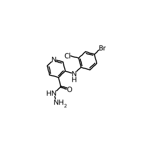 NNC(=O)c1ccncc1Nc1ccc(Br)cc1Cl